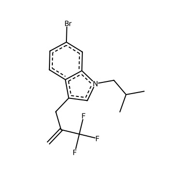 C=C(Cc1cn(CC(C)C)c2cc(Br)ccc12)C(F)(F)F